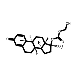 C[C@]12C=CC(=O)C=C1CC[C@@H]1[C@@H]2CC[C@@]2(C)[C@H]1CC[C@]2(OC(=O)OCO)C(=O)O